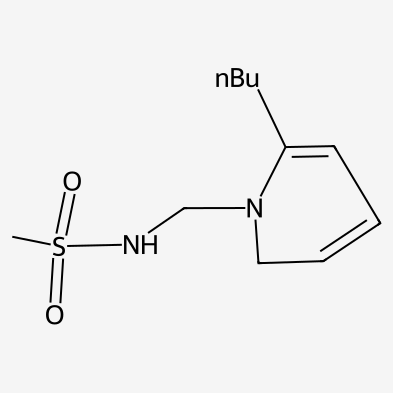 CCCCC1=CC=CCN1CNS(C)(=O)=O